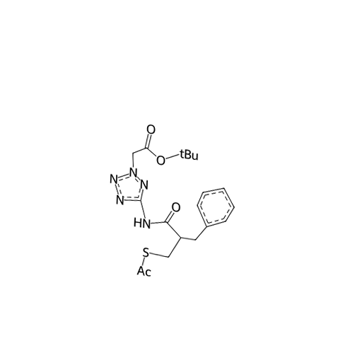 CC(=O)SCC(Cc1ccccc1)C(=O)Nc1nnn(CC(=O)OC(C)(C)C)n1